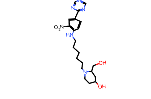 O=[N+]([O-])c1cc(-c2ncncn2)ccc1NCCCCCCN1CCC(O)CC1CO